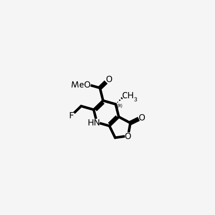 COC(=O)C1=C(CF)NC2=C(C(=O)OC2)[C@H]1C